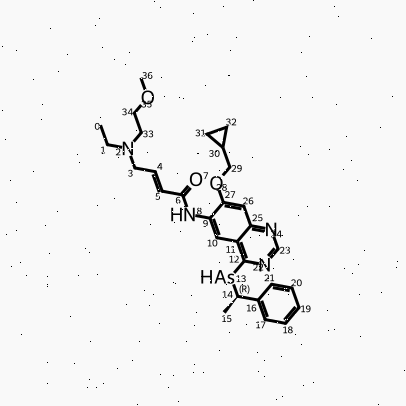 CCN(CC=CC(=O)Nc1cc2c([AsH][C@H](C)c3ccccc3)ncnc2cc1OCC1CC1)CCOC